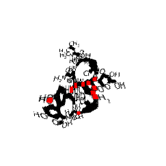 CN[C@H](CC(C)C)C(=O)N[C@H]1C(=O)N[C@@H](CC(N)=O)C(=O)N[C@H]2C(=N)N[C@H]3C(=O)N[C@H](C(=O)N[C@H](C(=O)O)c4cc(O)cc(O)c4-c4cc3ccc4O)[C@H](O)c3ccc(c(Cl)c3)Oc3cc2cc(c3O[C@@H]2OC(CO)C(O)[C@H](O)[C@H]2O[C@H]2CC(C)(N)[C@H](O)[C@H](C)O2)Oc2ccc(cc2Cl)[C@H]1O